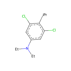 CCN(CC)c1cc(Cl)c(C(C)C)c(Cl)c1